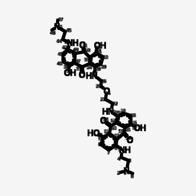 CN(C)CCNc1ccc(O)c2c1C(=O)c1c(O)ccc(NCCOCCNc3ccc(O)c4c3C(=O)c3c(O)ccc(NCCN(C)C)c3C4=O)c1C2=O